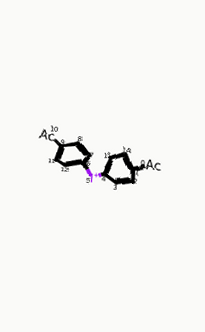 CC(=O)c1ccc([I+]c2ccc(C(C)=O)cc2)cc1